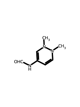 CN1C=CC(NC=O)=CN1C